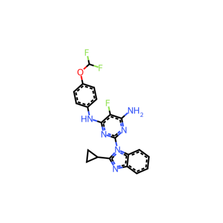 Nc1nc(-n2c(C3CC3)nc3ccccc32)nc(Nc2ccc(OC(F)F)cc2)c1F